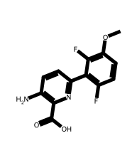 COc1ccc(F)c(-c2ccc(N)c(C(=O)O)n2)c1F